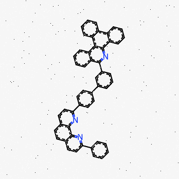 c1ccc(-c2ccc3ccc4ccc(-c5ccc(-c6cccc(-c7nc8c9ccccc9c9ccccc9c8c8ccccc78)c6)cc5)nc4c3n2)cc1